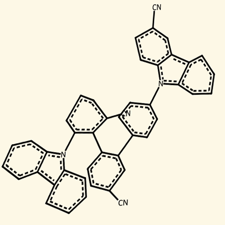 N#Cc1ccc(-c2c(C#N)cccc2-n2c3ccccc3c3ccccc32)c(-c2ccc(-n3c4ccccc4c4cc(C#N)ccc43)cc2)c1